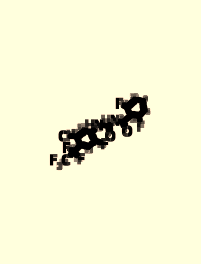 O=C(NC(=O)c1c(F)cccc1F)Nc1cc(Cl)c(C(F)(F)C(F)(F)F)cc1F